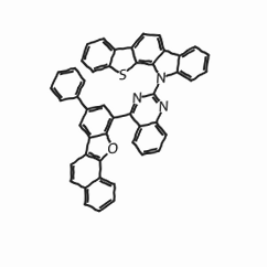 c1ccc(-c2cc(-c3nc(-n4c5ccccc5c5ccc6c7ccccc7sc6c54)nc4ccccc34)c3oc4c5ccccc5ccc4c3c2)cc1